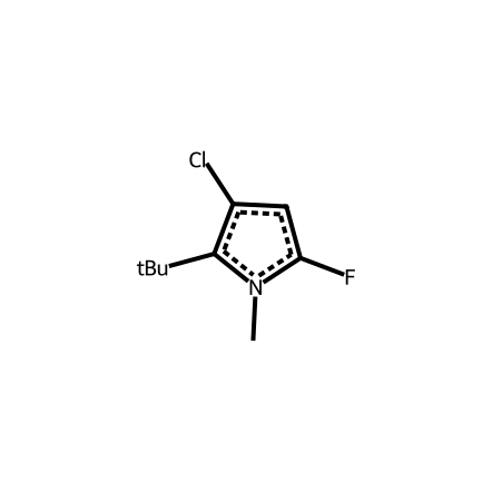 Cn1c(F)cc(Cl)c1C(C)(C)C